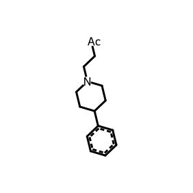 CC(=O)CCN1CCC(c2ccccc2)CC1